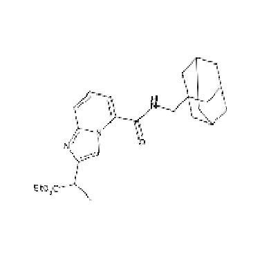 CCOC(=O)C(C)c1cn2c(C(=O)NCC34CC5CC(CC(C5)C3)C4)cccc2n1